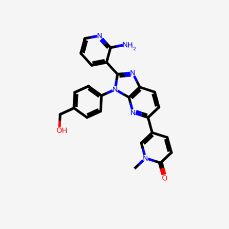 Cn1cc(-c2ccc3nc(-c4cccnc4N)n(-c4ccc(CO)cc4)c3n2)ccc1=O